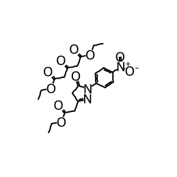 CCOC(=O)CC(=O)CC(=O)OCC.CCOC(=O)CC1=NN(c2ccc([N+](=O)[O-])cc2)C(=O)C1